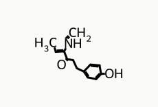 C=CN/C(=C\C)C(=O)CCc1ccc(O)cc1